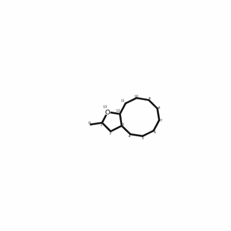 CC1CC2CCCCCCCCC2O1